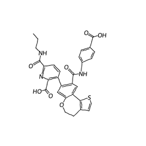 CCCNC(=O)c1ccc(-c2cc3c(cc2C(=O)Nc2ccc(C(=O)O)cc2)-c2sccc2CCO3)c(C(=O)O)n1